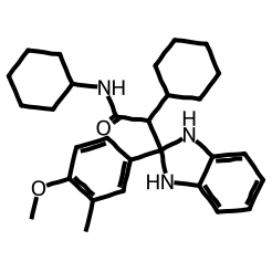 COc1ccc(C2(C(C(=O)NC3CCCCC3)C3CCCCC3)Nc3ccccc3N2)cc1C